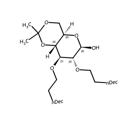 CCCCCCCCCCCCO[C@@H]1[C@@H](OCCCCCCCCCCCC)[C@H](O)O[C@@H]2COC(C)(C)O[C@@H]12